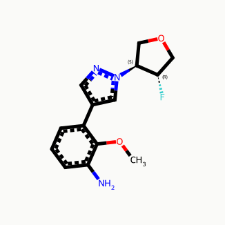 COc1c(N)cccc1-c1cnn([C@H]2COC[C@@H]2F)c1